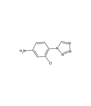 Nc1ccc(-n2cnnn2)c(Cl)c1